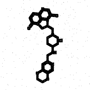 Cl.O=c1ccc2ncc(=O)n3c2n1CC3CN1CCC(NCc2cc3c(cn2)OCCO3)CC1